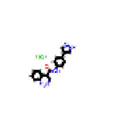 Cl.NCC(C(=O)Nc1ccc(-c2cn[nH]c2)cc1)c1ccccc1